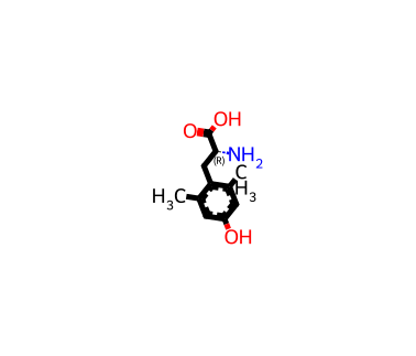 Cc1cc(O)cc(C)c1C[C@@H](N)C(=O)O